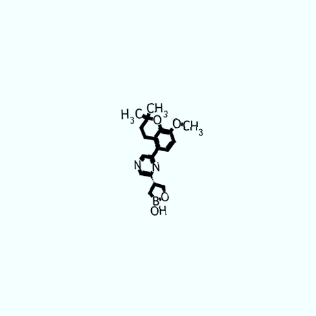 COc1ccc(-c2cncc([C@@H]3COB(O)C3)n2)c2c1OC(C)(C)CC2